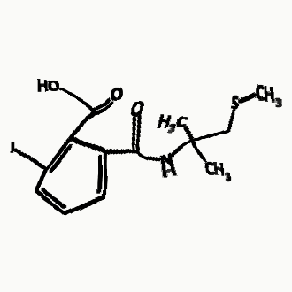 CSCC(C)(C)NC(=O)c1cccc(I)c1C(=O)O